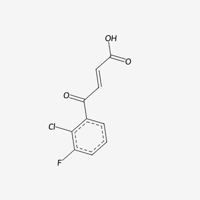 O=C(O)/C=C/C(=O)c1cccc(F)c1Cl